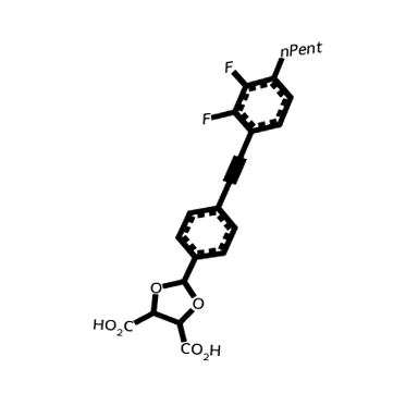 CCCCCc1ccc(C#Cc2ccc(C3OC(C(=O)O)C(C(=O)O)O3)cc2)c(F)c1F